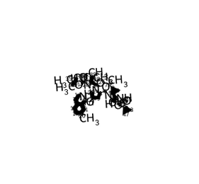 CC[C@@H]1C[C@]1(NC(=O)[C@@H]1C[C@@H](Oc2nccc3ccc(C)cc23)CN1C(=O)[C@@H](NC(=O)OC(C)(C)C)C(C)(C)C)C(=O)NS(=O)(=O)C1CC1